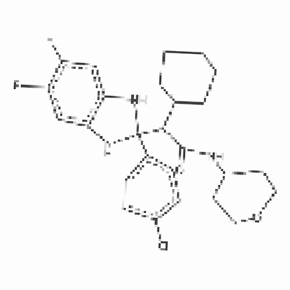 O=C(NC1CCOCC1)C(C1CCCCC1)C1(c2ccc(Cl)cc2)Nc2cc(F)c(F)cc2N1